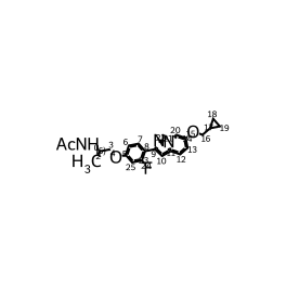 CC(=O)N[C@@H](C)COc1ccc(-c2cc3ccc(OCC4CC4)cn3n2)c(F)c1